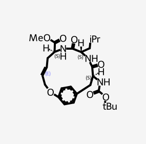 COC(=O)[C@@H]1C/C=C/COc2ccc(cc2)C[C@H](NC(=O)OC(C)(C)C)C(=O)N[C@@H](CC(C)C)C(=O)N1